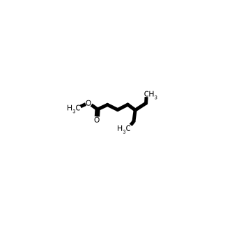 CCC(CC)CCCC(=O)OC